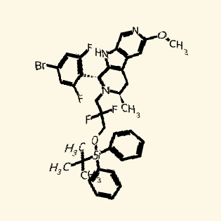 COc1cc2c3c([nH]c2cn1)[C@@H](c1c(F)cc(Br)cc1F)N(CC(F)(F)CO[Si](c1ccccc1)(c1ccccc1)C(C)(C)C)[C@H](C)C3